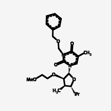 COCCO[C@@H]1[C@H](C)[C@@H](C(C)C)O[C@H]1n1cc(C)c(=O)n(COCc2ccccc2)c1=O